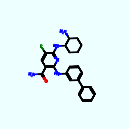 NC(=O)c1cc(F)c(NC2CCCC[C@@H]2N)nc1Nc1cccc(-c2ccccc2)c1